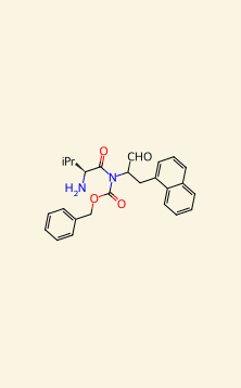 CC(C)[C@H](N)C(=O)N(C(=O)OCc1ccccc1)C(C=O)Cc1cccc2ccccc12